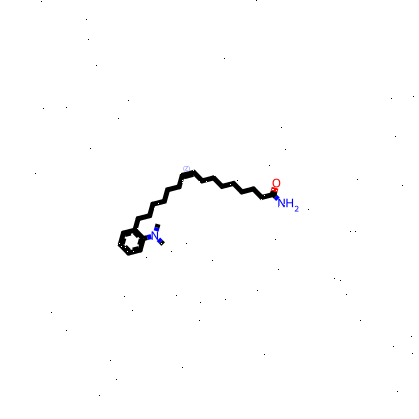 CN(C)c1ccccc1CCCCCC/C=C\CCCCCCCC(N)=O